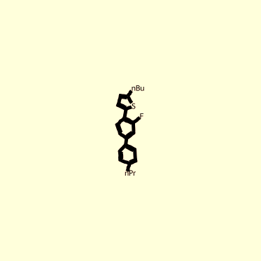 CCCCc1ccc(-c2ccc(-c3ccc(CCC)cc3)cc2F)s1